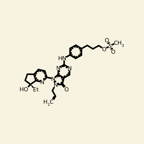 C=CCn1c(=O)c2cnc(Nc3ccc(CCCOS(C)(=O)=O)cc3)nc2n1-c1ccc2c(n1)[C@@](O)(CC)CC2